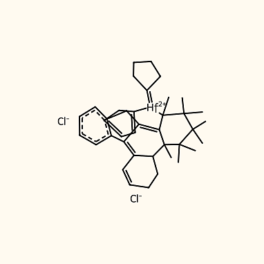 CC12C(=C3Cc4ccccc4C3=C3C=CCCC31)[C](C)([Hf+2]([C]1=CC=CC1)=[C]1CCCC1)C(C)(C)C(C)(C)C2(C)C.[Cl-].[Cl-]